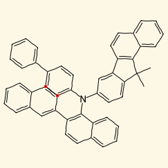 CC1(C)c2ccc(N(c3ccc(-c4ccccc4)cc3)c3c(-c4ccc5ccccc5c4)ccc4ccccc34)cc2-c2ccc3ccccc3c21